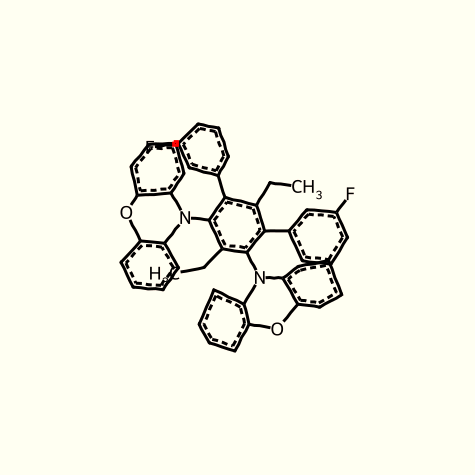 CCc1c(-c2cccc(F)c2)c(N2c3ccccc3Oc3ccccc32)c(CC)c(N2c3ccccc3Oc3ccccc32)c1-c1cccc(F)c1